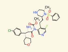 COC(=O)N(C(=O)[C@@H](N)[C@@H](c1ccc(Cl)cc1)C1CCOCC1)c1cncc(F)c1CC[C@H]1CNC[C@H](C)N1S(=O)(=O)c1ccccc1